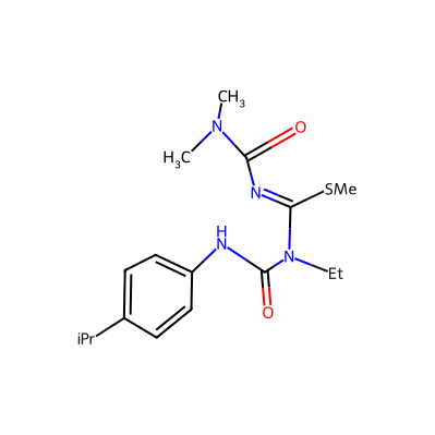 CCN(C(=O)Nc1ccc(C(C)C)cc1)C(=NC(=O)N(C)C)SC